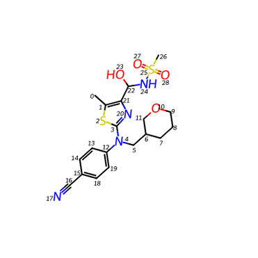 Cc1sc(N(CC2CCCOC2)c2ccc(C#N)cc2)nc1C(O)NS(C)(=O)=O